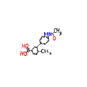 CC(=O)Nc1ccc(-c2cc(B(O)O)ccc2C)cc1